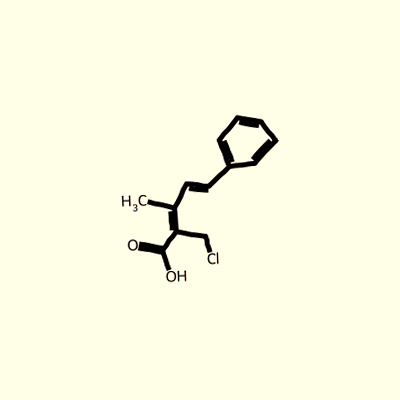 CC(C=Cc1ccccc1)=C(CCl)C(=O)O